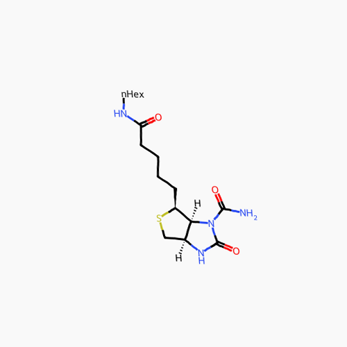 [CH2]CCCCCNC(=O)CCCC[C@@H]1SC[C@@H]2NC(=O)N(C(N)=O)[C@@H]21